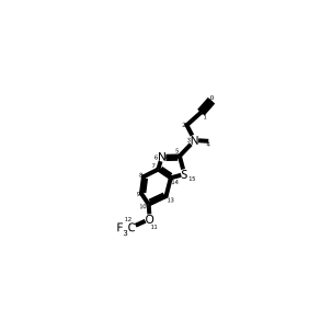 C#CCN(C)c1nc2ccc(OC(F)(F)F)cc2s1